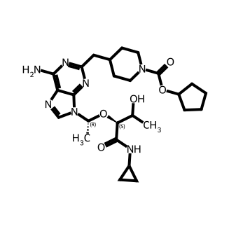 CC(O)[C@H](O[C@H](C)n1cnc2c(N)nc(CC3CCN(C(=O)OC4CCCC4)CC3)nc21)C(=O)NC1CC1